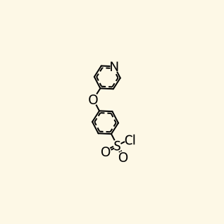 O=S(=O)(Cl)c1ccc(Oc2ccncc2)cc1